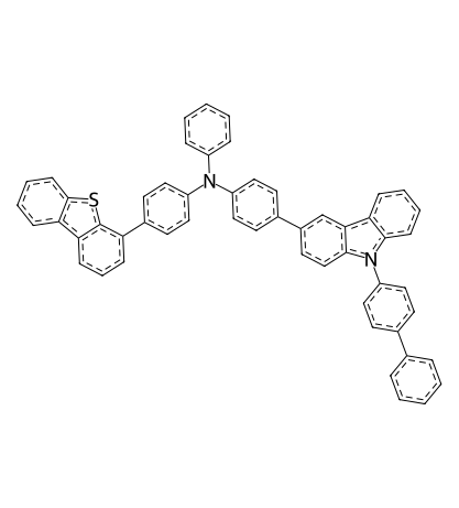 c1ccc(-c2ccc(-n3c4ccccc4c4cc(-c5ccc(N(c6ccccc6)c6ccc(-c7cccc8c7sc7ccccc78)cc6)cc5)ccc43)cc2)cc1